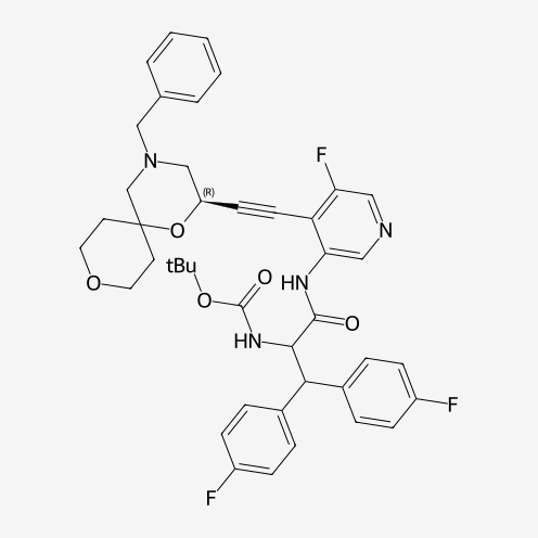 CC(C)(C)OC(=O)NC(C(=O)Nc1cncc(F)c1C#C[C@@H]1CN(Cc2ccccc2)CC2(CCOCC2)O1)C(c1ccc(F)cc1)c1ccc(F)cc1